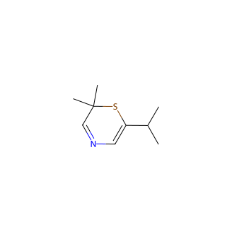 CC(C)C1=CN=CC(C)(C)S1